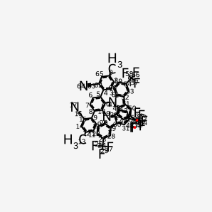 Cc1ccc(-c2ccc(-c3ccc(C)cc3C#N)c(-n3c4ccc(C(F)(F)F)cc4c4cc(C(F)(F)F)ccc43)c2-n2c3ccc(C(F)(F)F)cc3c3cc(C(F)(F)F)ccc32)c(C#N)c1